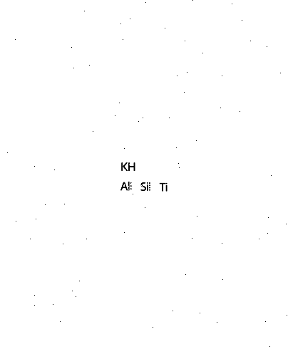 [Al].[KH].[Si].[Ti]